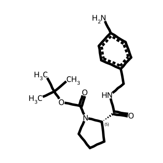 CC(C)(C)OC(=O)N1CCC[C@H]1C(=O)NCc1ccc(N)cc1